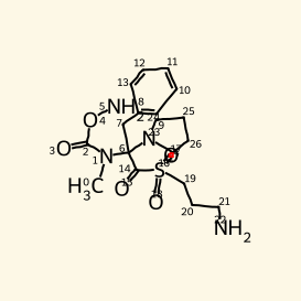 CN(C(=O)ON)C(Cc1ccccc1)(C(=O)S(=O)(=O)CCCN)N1CCCC1